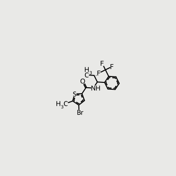 C[CH]C(NC(=O)c1cc(Br)c(C)s1)c1ccccc1C(F)(F)F